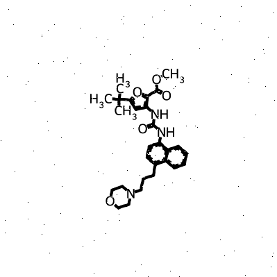 COC(=O)c1oc(C(C)(C)C)cc1NC(=O)Nc1ccc(CCCN2CCOCC2)c2ccccc12